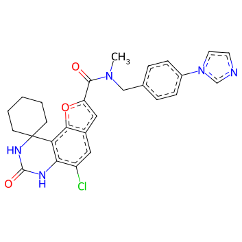 CN(Cc1ccc(-n2ccnc2)cc1)C(=O)c1cc2cc(Cl)c3c(c2o1)C1(CCCCC1)NC(=O)N3